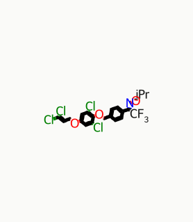 CC(C)ON=C(c1ccc(COc2c(Cl)cc(OCC=C(Cl)Cl)cc2Cl)cc1)C(F)(F)F